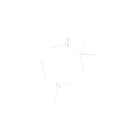 CN1CCCNC(C)(C)CC1